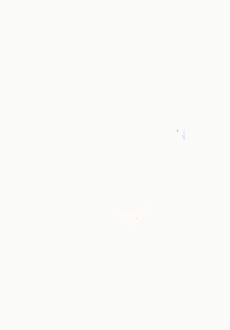 c1ccc2c(c1)OCC1NCCC21